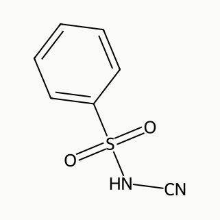 N#CNS(=O)(=O)c1ccccc1